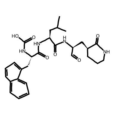 CC(C)C[C@H](NC(=O)[C@H](Cc1cccc2ccccc12)NC(=O)O)C(=O)N[C@H](C=O)C[C@@H]1CCCNC1=O